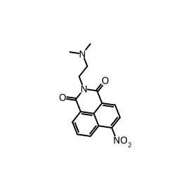 CN(C)CCN1C(=O)c2cccc3c([N+](=O)[O-])ccc(c23)C1=O